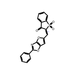 O=C1/C(=C\c2cc3oc(-c4ccccc4)nc3o2)S(=O)(=O)c2ccccc21